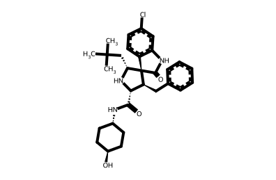 CC(C)(C)C[C@H]1N[C@@H](C(=O)N[C@H]2CC[C@H](O)CC2)[C@H](Cc2ccccc2)[C@@]12C(=O)Nc1cc(Cl)ccc12